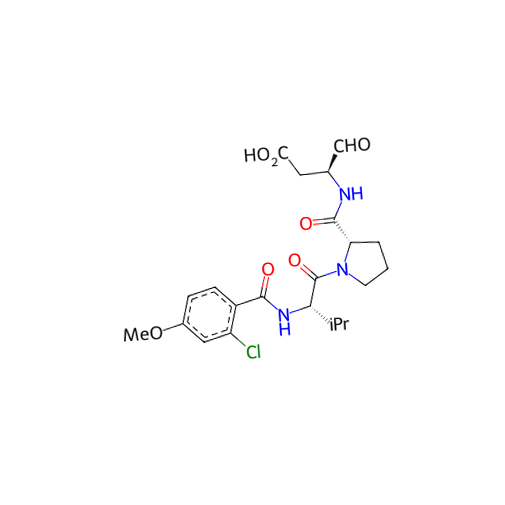 COc1ccc(C(=O)N[C@H](C(=O)N2CCC[C@H]2C(=O)N[C@H](C=O)CC(=O)O)C(C)C)c(Cl)c1